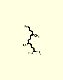 CC(=CCCC(C)CCCC(C)O)CCCC(C)C